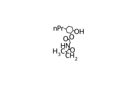 C=C(C)C(=O)NCC(=O)OC1CC(CCC)CCC1O